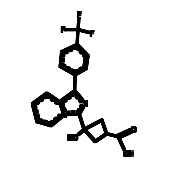 O=C(O)C1CC(O)(c2nc(-c3ccc(C(F)(F)F)cc3)c3ccccn23)C1